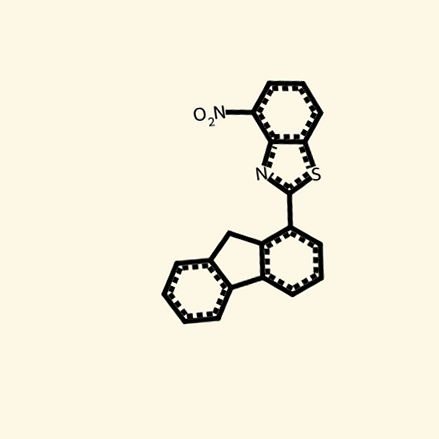 O=[N+]([O-])c1cccc2sc(-c3cccc4c3Cc3ccccc3-4)nc12